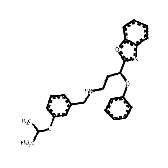 CC(Oc1cccc(CNCCC(Oc2ccccc2)c2nc3ccccc3o2)c1)C(=O)O